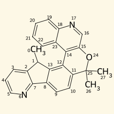 CC1c2cccnc2-c2ccc3c(c21)-c1c(cnc2ccccc12)OC3(C)C